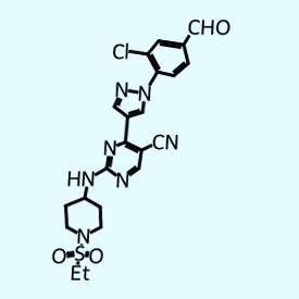 CCS(=O)(=O)N1CCC(Nc2ncc(C#N)c(-c3cnn(-c4ccc(C=O)cc4Cl)c3)n2)CC1